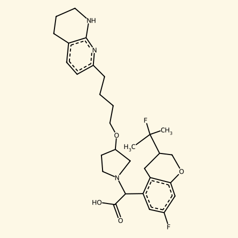 CC(C)(F)C1COc2cc(F)cc(C(C(=O)O)N3CCC(OCCCCc4ccc5c(n4)NCCC5)C3)c2C1